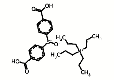 CCC[N+](CCC)(CCC)CCC.O=C(O)c1ccc([S+]([O-])c2ccc(C(=O)O)cc2)cc1